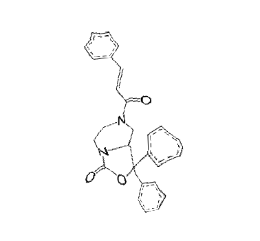 O=C(C=Cc1ccccc1)N1CCN2C(=O)OC(c3ccccc3)(c3ccccc3)C2C1